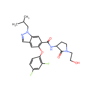 CC(C)Cn1ncc2cc(Oc3ccc(F)cc3F)c(C(=O)NC3CCN(CCO)C3=O)cc21